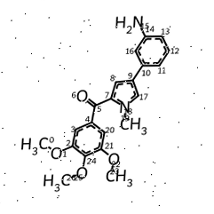 COc1cc(C(=O)c2cc(-c3cccc(N)c3)cn2C)cc(OC)c1OC